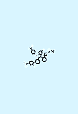 COC(=O)c1ccc(-c2cccc(-c3c(-c4ccccc4C4(F)CN(C(=O)OC(C)(C)C)C4)c4cc(F)ccc4n3Sc3ccc(C(F)F)cc3)c2)c(Cl)c1